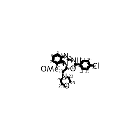 COc1cccc2nc(NC(=O)c3ccc(Cl)cc3)n(CCN3CCOCC3)c12